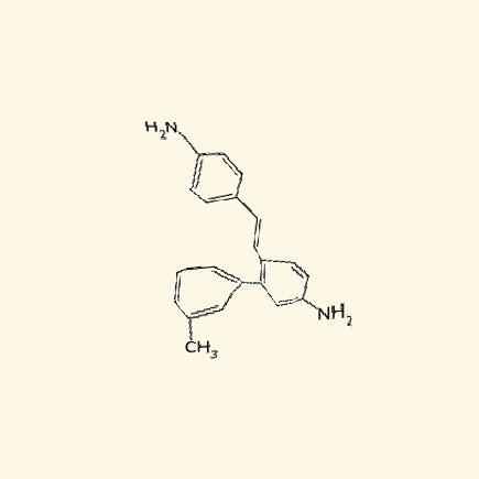 Cc1cccc(-c2cc(N)ccc2C=Cc2ccc(N)cc2)c1